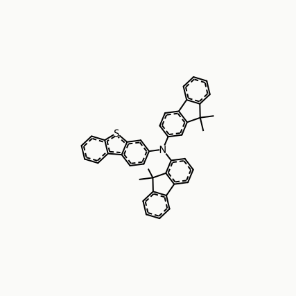 CC1(C)c2ccccc2-c2ccc(N(c3ccc4c(c3)sc3ccccc34)c3cccc4c3C(C)(C)c3ccccc3-4)cc21